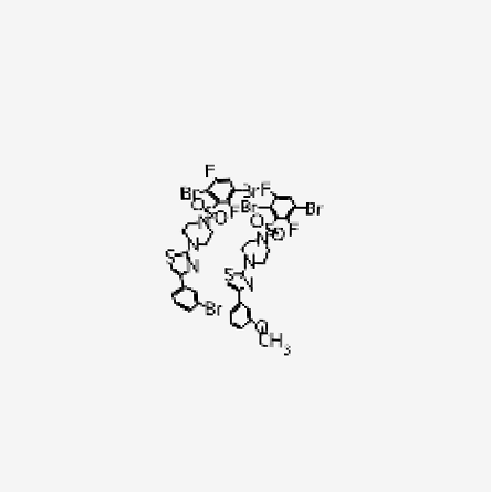 COc1cccc(-c2csc(N3CCN(S(=O)(=O)c4c(F)c(Br)cc(F)c4Br)CC3)n2)c1.O=S(=O)(c1c(F)c(Br)cc(F)c1Br)N1CCN(c2nc(-c3cccc(Br)c3)cs2)CC1